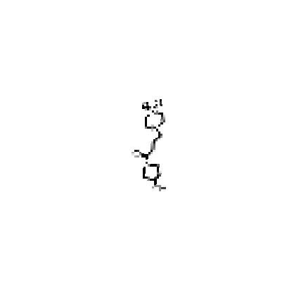 CC1CCN(C(=O)CCCN2CCS(=O)(=O)CC2)CC1